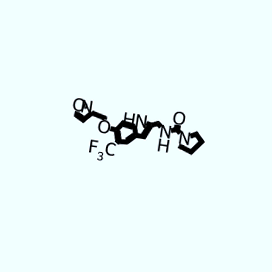 O=C(NCc1cc2cc(C(F)(F)F)c(OCc3ccon3)cc2[nH]1)N1CCCC1